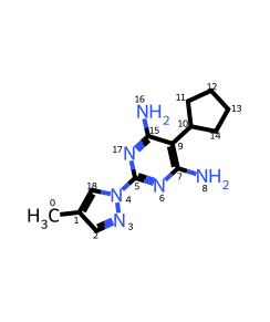 Cc1cnn(-c2nc(N)c(C3CCCC3)c(N)n2)c1